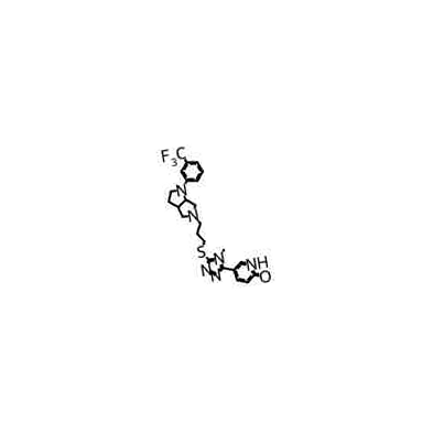 Cn1c(SCCCN2CC3CCN(c4cccc(C(F)(F)F)c4)C3C2)nnc1-c1ccc(=O)[nH]c1